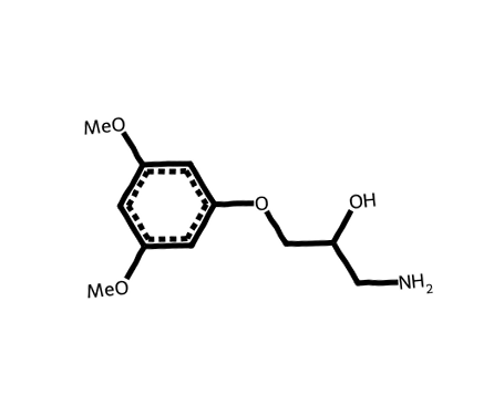 COc1cc(OC)cc(OCC(O)CN)c1